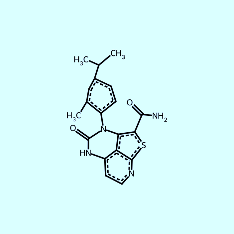 Cc1cc(C(C)C)ccc1N1C(=O)Nc2ccnc3sc(C(N)=O)c1c23